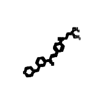 CN(C)CCNc1ccc(/C=C/C(=O)c2cccc(CN3CCOCC3)c2)cc1